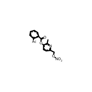 CC(=O)c1ccccc1C(=O)Oc1ccc(CO[N+](=O)[O-])nc1C